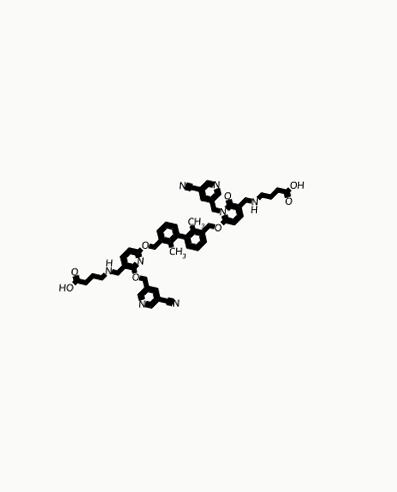 Cc1c(COc2ccc(CNCCCC(=O)O)c(OCc3cncc(C#N)c3)n2)cccc1-c1cccc(COc2ccc(CNCCCC(=O)O)c(=O)n2Cc2cncc(C#N)c2)c1C